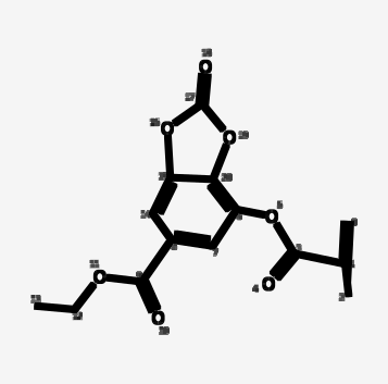 C=C(C)C(=O)Oc1cc(C(=O)OCC)cc2oc(=O)oc12